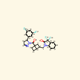 O=C1N(CC2CC3(C(=O)N4N=CCC4c4cc(F)cc(F)c4)CCC23)c2ccccc2C1(F)F